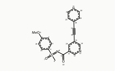 COc1ccc(S(C)(=O)=NC(=O)c2cncc(C#Cc3ccncc3)c2)cc1